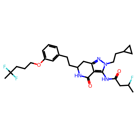 CC(F)CC(=O)Nc1c2c(nn1CCC1CC1)CC(CCc1cccc(OCCCC(C)(F)F)c1)NC2=O